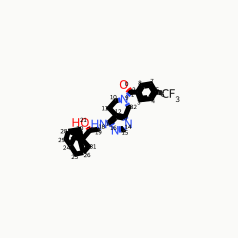 O=C(c1ccc(C(F)(F)F)cc1)N1CCc2c(ncnc2NCC(O)C23CC4CC(CC(C4)C2)C3)C1